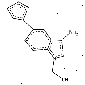 CCn1cc(N)c2cc(-c3cccs3)ccc21